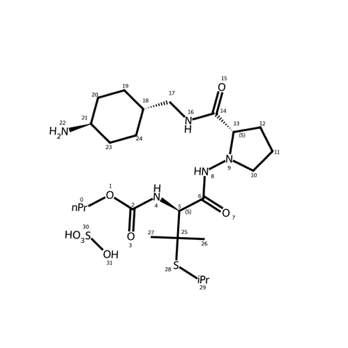 CCCOC(=O)N[C@@H](C(=O)NN1CCC[C@H]1C(=O)NC[C@H]1CC[C@H](N)CC1)C(C)(C)SC(C)C.O=S(=O)(O)O